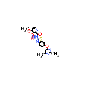 COc1ccnc(C(=O)Nc2nc3ccc(Oc4cc(C)nc(C)n4)cc3s2)c1O